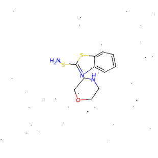 C1COCCN1.NSc1nc2ccccc2s1